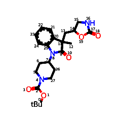 CC(C)(C)OC(=O)N1CCC(N2C(=O)C(C)(CC3CNC(=O)O3)c3ccccc32)CC1